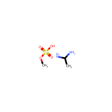 CC(N)N.COS(=O)(=O)O